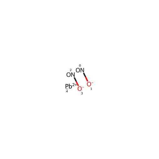 O=N[O-].O=N[O-].[Pb+2]